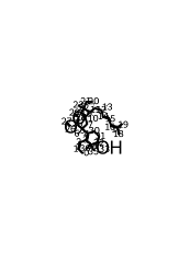 C/C=C\C1=C([C@@](C)(CC[C@]2(C)[C@@H]([C@H](C)/C=C/C=C(C)C)CCC2(C)C)C(OC)OC)CC[C@H](O)C1(C)C